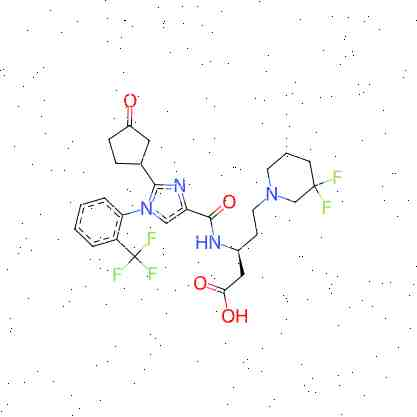 O=C(O)C[C@H](CCN1CCCC(F)(F)C1)NC(=O)c1cn(-c2ccccc2C(F)(F)F)c(C2CCC(=O)C2)n1